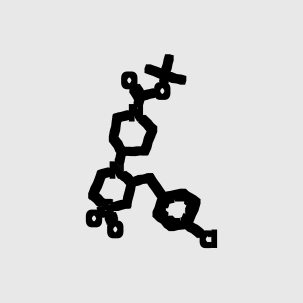 CC(C)(C)OC(=O)N1CCC(N2CCS(=O)(=O)CC2Cc2ccc(Cl)cc2)CC1